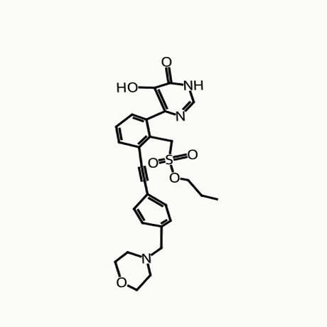 CCCOS(=O)(=O)Cc1c(C#Cc2ccc(CN3CCOCC3)cc2)cccc1-c1nc[nH]c(=O)c1O